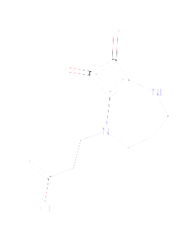 O=C(O)CCN1CCCNc2c1c(=O)c2=O